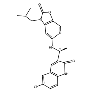 CC(C)Cn1c(=O)oc2cnc(N[C@@H](C)c3cc4cc(Cl)ccc4[nH]c3=O)cc21